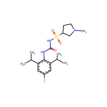 CC(C)c1cc(F)cc(C(C)C)c1NC(=O)NS(=O)(=O)C1CCN(C)C1